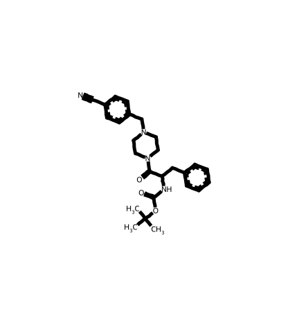 CC(C)(C)OC(=O)NC(Cc1ccccc1)C(=O)N1CCN(Cc2ccc(C#N)cc2)CC1